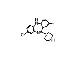 FC1=CC2C(N3CCNCC3)=Nc3cc(Cl)ccc3NC2C=C1